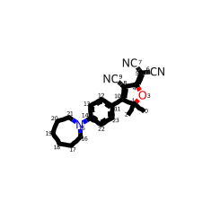 CC1(C)OC(=C(C#N)C#N)C(C#N)=C1c1ccc(N2CCCCCC2)cc1